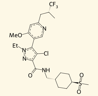 CCn1nc(C(=O)NC[C@H]2CC[C@H](S(C)(=O)=O)CC2)c(Cl)c1-c1cnc(C[C@@H](C)C(F)(F)F)cc1OC